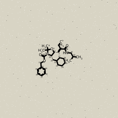 CC/C(=C\[C@H]1OC(C)(C)N(C(=O)OCc2ccccc2)[C@H]1CC1CCCCC1)C(=O)NCC(C)C